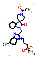 CC(=O)N1CCC2(CC1)C(=O)N(Cc1nc3cc(Cl)ccc3n1CCCS(C)(=O)=O)c1ccccc12